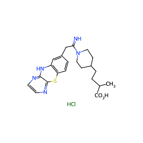 CC(CCC1CCN(C(=N)Cc2ccc3c(c2)Nc2nccnc2S3)CC1)C(=O)O.Cl